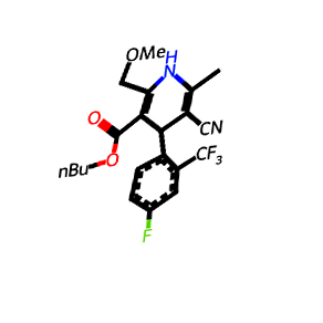 CCCCOC(=O)C1=C(COC)NC(C)=C(C#N)C1c1ccc(F)cc1C(F)(F)F